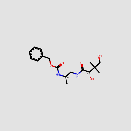 C[C@H](CNC(=O)[C@@H](O)C(C)(C)CO)NC(=O)OCc1ccccc1